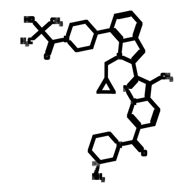 Cc1c(-c2cc3cccc(C4CCN(C(=O)C(C)(C)O)CC4)c3n2CC2CC2)nn2cc(C(=O)N3CCC[C@@H](N)C3)ccc12